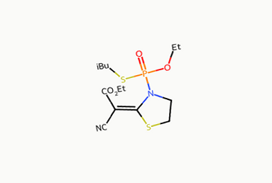 CCOC(=O)C(C#N)=C1SCCN1P(=O)(OCC)SC(C)CC